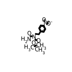 CC(C)(C)OC(=O)N(CCc1ccc([N+](=O)[O-])cc1)C(N)=O